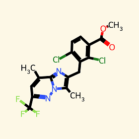 COC(=O)c1ccc(Cl)c(Cc2nc3c(C)cc(C(F)(F)F)nn3c2C)c1Cl